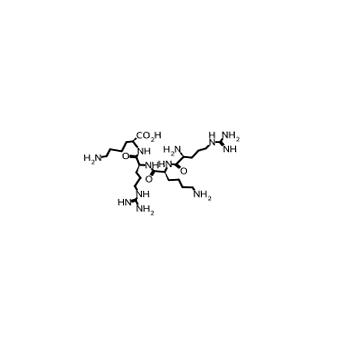 N=C(N)NCCC[C@H](NC(=O)[C@H](CCCCN)NC(=O)[C@@H](N)CCCNC(=N)N)C(=O)N[C@@H](CCCCN)C(=O)O